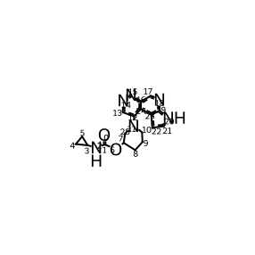 O=C(NC1CC1)OC1CCCN(c2cnnc3cnc4[nH]ccc4c23)C1